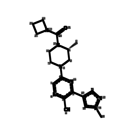 C[C@@H]1CN(c2cnc(C#N)c(-c3cnn(C)c3)n2)CCN1C(=O)N1CCC1